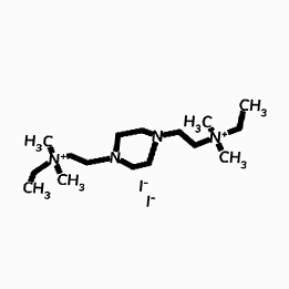 CC[N+](C)(C)CCN1CCN(CC[N+](C)(C)CC)CC1.[I-].[I-]